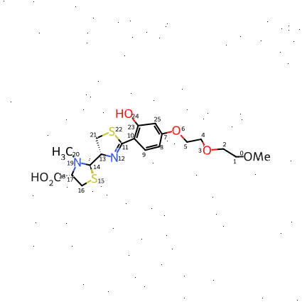 COCCOCCOc1ccc(C2=N[C@H]([C@H]3SC[C@H](C(=O)O)N3C)CS2)c(O)c1